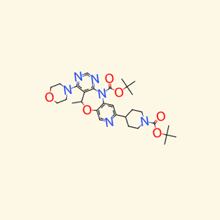 CC1Oc2cnc(C3CCN(C(=O)OC(C)(C)C)CC3)cc2N(C(=O)OC(C)(C)C)c2ncnc(N3CCOCC3)c21